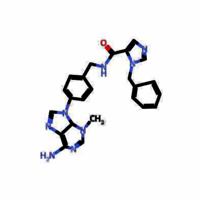 CN1C=NC(N)=C2N=CN(c3ccc(CNC(=O)c4cncn4Cc4ccccc4)cc3)C21